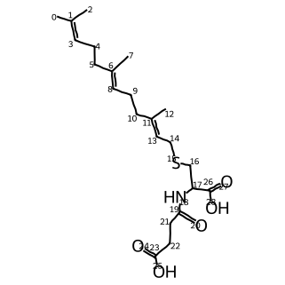 CC(C)=CCC/C(C)=C/CC/C(C)=C/CSCC(NC(=O)CCC(=O)O)C(=O)O